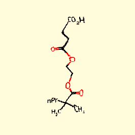 CCCC(C)(C)C(=O)OCCOC(=O)CCC(=O)O